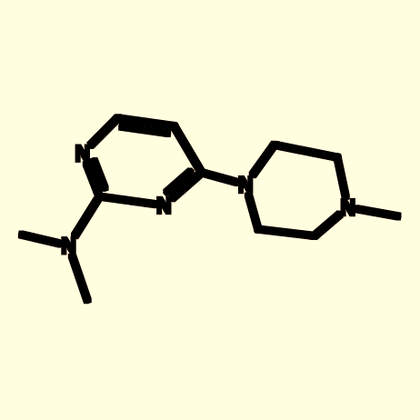 CN1CCN(c2ccnc(N(C)C)n2)CC1